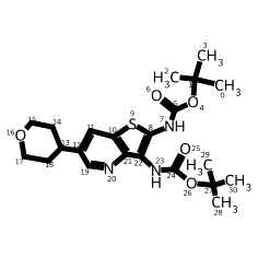 CC(C)(C)OC(=O)Nc1sc2cc(C3CCOCC3)cnc2c1NC(=O)OC(C)(C)C